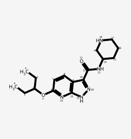 CCC(CC)Oc1ccc2c(C(=O)NC3CCCNC3)n[nH]c2n1